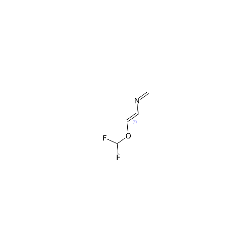 C=N/C=C/OC(F)F